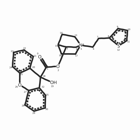 O=C(OC1C[N+]2(CCc3cccs3)CCC1CC2)C1(O)c2ccccc2Oc2ccccc21